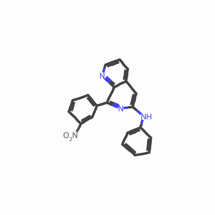 O=[N+]([O-])c1cccc(-c2nc(Nc3ccccc3)cc3cccnc23)c1